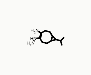 CC(C)C1C2CC/C(N)=C(/NN)CCC21